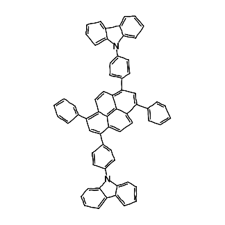 c1ccc(-c2cc(-c3ccc(-n4c5ccccc5c5ccccc54)cc3)c3ccc4c(-c5ccccc5)cc(-c5ccc(-n6c7ccccc7c7ccccc76)cc5)c5ccc2c3c45)cc1